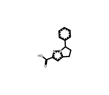 O=C(O)c1cc2n(n1)C(c1ccccc1)CC2